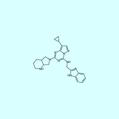 c1ccc2[nH]c(CNc3nc(N4CC5CCCNC5C4)nc4c(C5CC5)cnn34)nc2c1